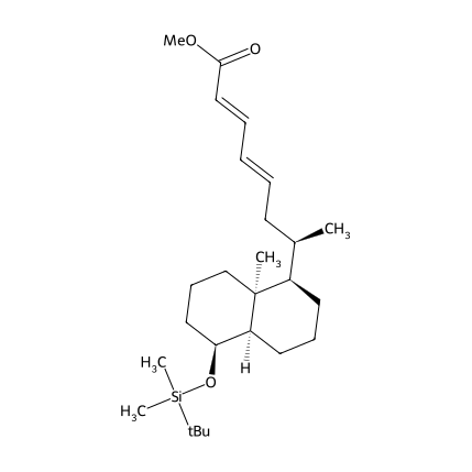 COC(=O)/C=C/C=C/C[C@@H](C)[C@H]1CCC[C@H]2[C@@H](O[Si](C)(C)C(C)(C)C)CCC[C@@]12C